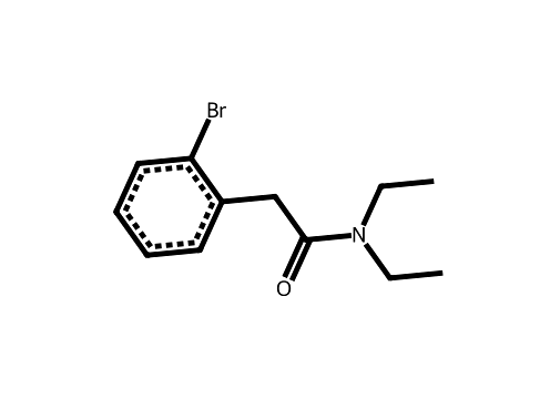 CCN(CC)C(=O)Cc1ccccc1Br